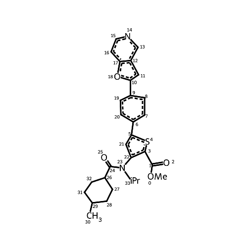 COC(=O)c1sc(-c2ccc(-c3cc4cnccc4o3)cc2)cc1N(C(=O)C1CCC(C)CC1)C(C)C